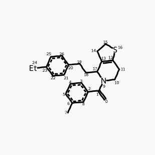 C=C(c1cccc(C)c1)N1CCC2=C(CCS2)C1CCc1ccc(CC)cc1